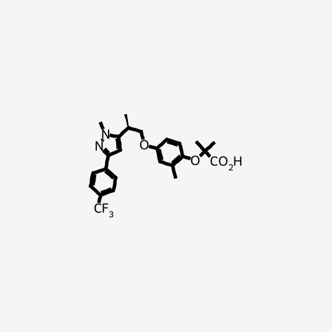 Cc1cc(OC[C@H](C)c2cc(-c3ccc(C(F)(F)F)cc3)nn2C)ccc1OC(C)(C)C(=O)O